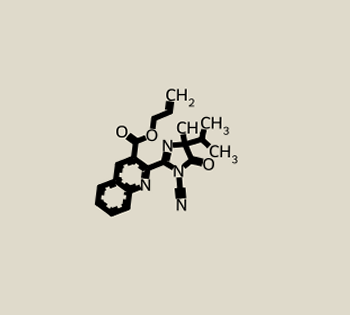 C=CCOC(=O)c1cc2ccccc2nc1C1=NC(C)(C(C)C)C(=O)N1C#N